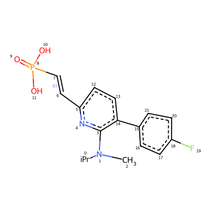 CC(C)N(C)c1nc(/C=C/P(=O)(O)O)ccc1-c1ccc(F)cc1